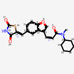 CN(C(=O)/C=C\c1coc2ccc(/C=C3\SC(=O)NC3=O)cc12)C1CCCCC1